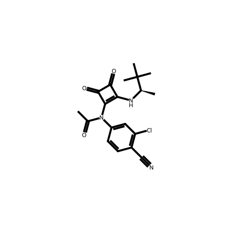 CC(=O)N(c1ccc(C#N)c(Cl)c1)c1c(N[C@H](C)C(C)(C)C)c(=O)c1=O